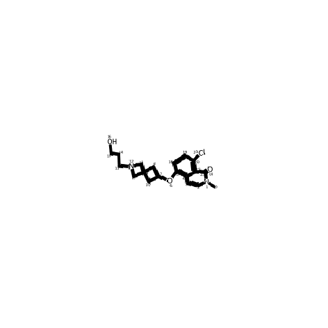 Cn1ccc2c(OC3CC4(C3)CN(CCCO)C4)ccc(Cl)c2c1=O